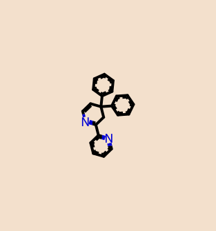 C1=CC(c2ccccc2)(c2ccccc2)CC(c2ccccn2)=N1